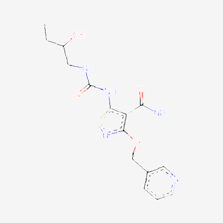 CCC(O)CNC(=O)Nc1snc(OCc2cccnc2)c1C(N)=O